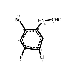 O=CNc1cc(Cl)c(F)cc1Br